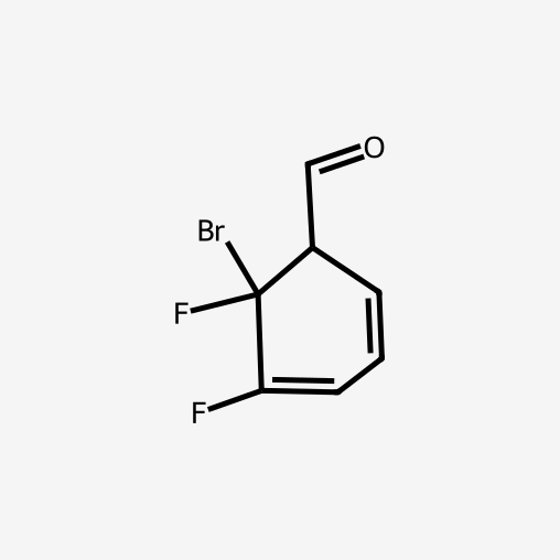 O=CC1C=CC=C(F)C1(F)Br